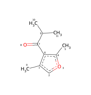 Cc1coc(C)c1C(=O)C(C)C